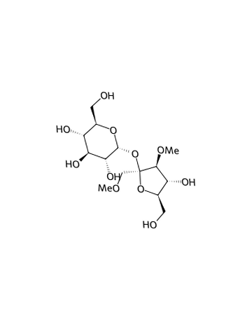 COC[C@@]1(O[C@H]2O[C@H](CO)[C@@H](O)[C@H](O)[C@H]2O)O[C@H](CO)[C@@H](O)[C@@H]1OC